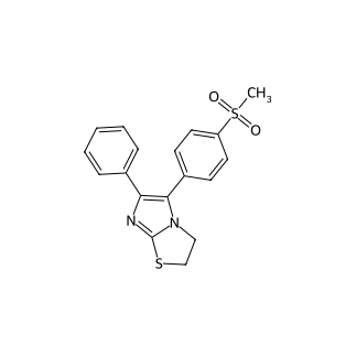 CS(=O)(=O)c1ccc(-c2c(-c3ccccc3)nc3n2CCS3)cc1